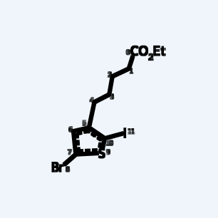 CCOC(=O)CCCCc1cc(Br)sc1I